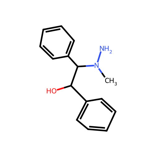 CN(N)C(c1ccccc1)C(O)c1ccccc1